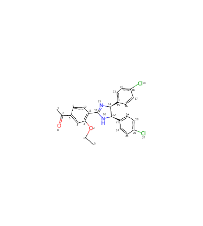 CCOc1cc(C(C)=O)ccc1C1=N[C@@H](c2ccc(Cl)cc2)[C@@H](c2ccc(Cl)cc2)N1